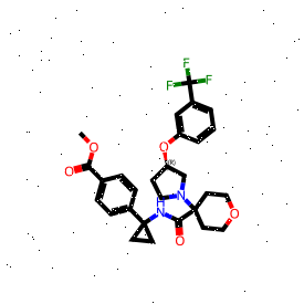 COC(=O)c1ccc(C2(NC(=O)C3(N4CC[C@@H](Oc5cccc(C(F)(F)F)c5)C4)CCOCC3)CC2)cc1